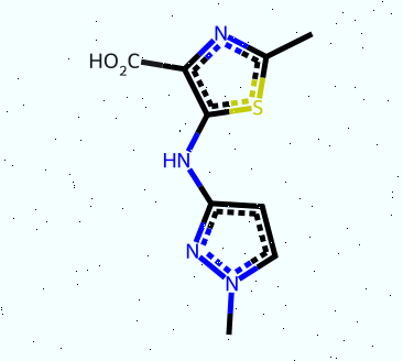 Cc1nc(C(=O)O)c(Nc2ccn(C)n2)s1